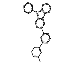 CC1=CCCC(c2cccc(-c3ccc4c(c3)c3ccccc3n4-c3ccccc3)c2)=C1